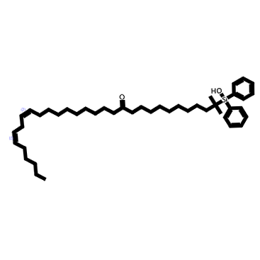 CCCCC/C=C\C/C=C\CCCCCCCCCC(=O)CCCCCCCCCC(C)(C)[Si](O)(c1ccccc1)c1ccccc1